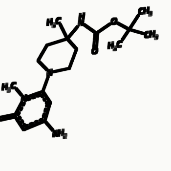 Cn1c(N2CCC(C)(NC(=O)OC(C)(C)C)CC2)cc(N)cc1=O